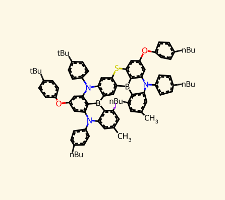 CCCCc1ccc(Oc2cc3c4c(c2)N(c2ccc(CCCC)cc2)c2cc(C)cc(CCCC)c2B4c2cc4c(cc2S3)N(c2ccc(C(C)(C)C)cc2)c2cc(Oc3ccc(C(C)(C)C)cc3)cc3c2B4c2c(I)cc(C)cc2N3c2ccc(CCCC)cc2)cc1